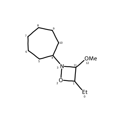 CCC1ON(C2CCCCCC2)C1OC